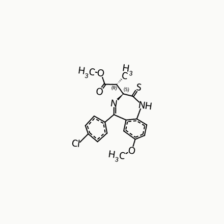 COC(=O)[C@H](C)[C@@H]1N=C(c2ccc(Cl)cc2)c2cc(OC)ccc2NC1=S